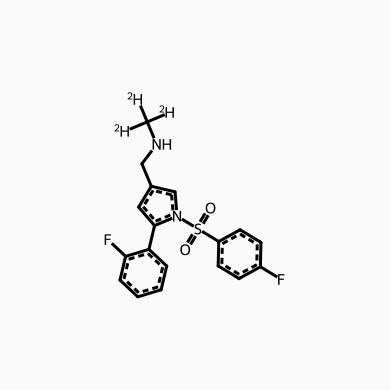 [2H]C([2H])([2H])NCc1cc(-c2ccccc2F)n(S(=O)(=O)c2ccc(F)cc2)c1